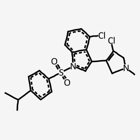 CC(C)c1ccc(S(=O)(=O)n2cc(C3=C(Cl)CN(C)C3)c3c(Cl)cccc32)cc1